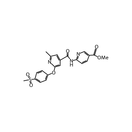 COC(=O)c1ccc(NC(=O)c2cc(C)nc(Oc3ccc(S(C)(=O)=O)cc3)c2)nc1